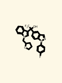 OC(c1ccc2c(cnn2-c2ccc(F)cc2)c1)(c1cn(CC2CCCO2)c2ccccc12)C(F)(F)F